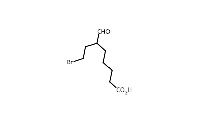 O=[C]C(CCBr)CCCCC(=O)O